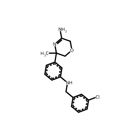 CC1(c2cccc(NCc3cccc(Cl)c3)c2)COCC(N)=N1